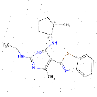 Cc1nc(NCC(F)(F)F)nc(N[C@@H]2CCC[C@@H]2C)c1-c1nc2ccccc2s1